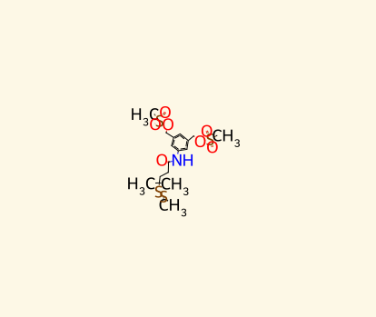 CSSC(C)(C)CCC(=O)Nc1cc(COS(C)(=O)=O)cc(COS(C)(=O)=O)c1